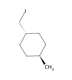 C[C@H]1CC[C@H](CI)CC1